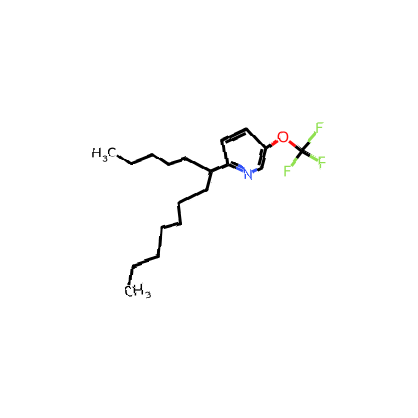 CCCCCCCC(CCCCC)c1ccc(OC(F)(F)F)cn1